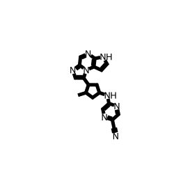 CC1CC(Nc2cnc(C#N)cn2)CC1c1cnc2cnc3[nH]ccc3n12